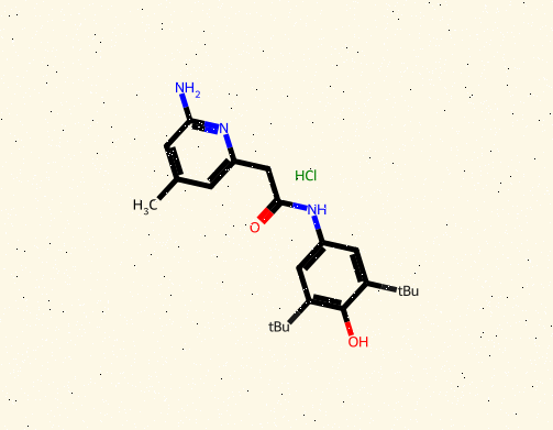 Cc1cc(N)nc(CC(=O)Nc2cc(C(C)(C)C)c(O)c(C(C)(C)C)c2)c1.Cl